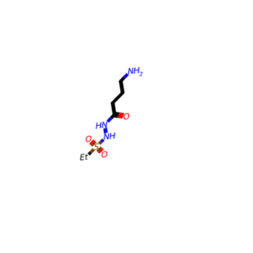 CCS(=O)(=O)NNC(=O)CCCN